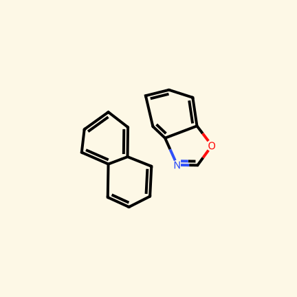 c1ccc2ccccc2c1.c1ccc2ocnc2c1